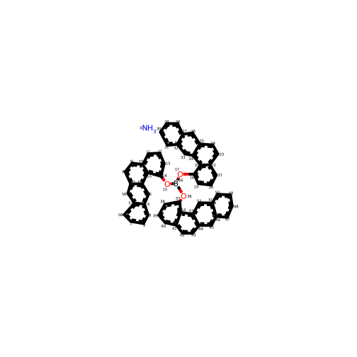 N.c1ccc2cc3c(ccc4cccc(OB(Oc5cccc6ccc7cc8ccccc8cc7c56)Oc5cccc6ccc7cc8ccccc8cc7c56)c43)cc2c1